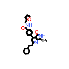 CC(C)C1NC(=O)c2c(-c3ccc(C(=O)NCc4ccco4)cc3)cc(CCC3CCCCC3)nc21